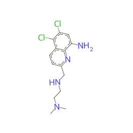 CN(C)CCNCc1ccc2c(Cl)c(Cl)cc(N)c2n1